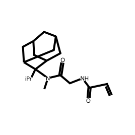 C=CC(=O)NCC(=O)N(C)C1(C(C)C)C2CC3CC(C2)CC1C3